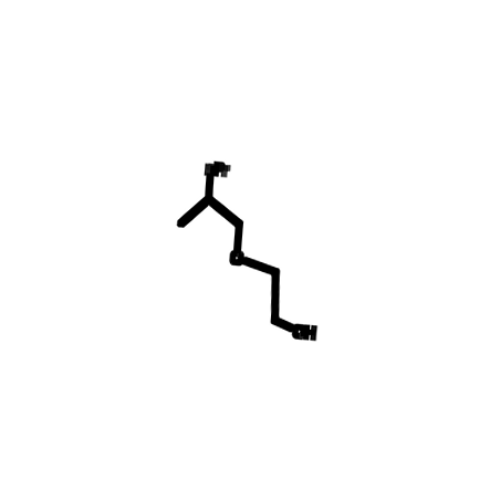 CCCC(C)COCCO